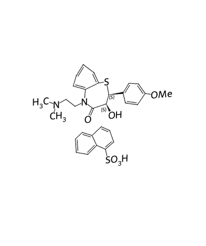 COc1ccc([C@@H]2Sc3ccccc3N(CCN(C)C)C(=O)[C@@H]2O)cc1.O=S(=O)(O)c1cccc2ccccc12